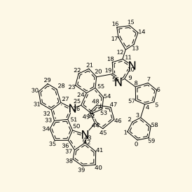 c1ccc(-c2cccc(-c3nc(-c4ccccc4)cc(-c4cccc5c(-n6c7ccccc7c7ccc8c9ccccc9n(-c9ccccc9)c8c76)cccc45)n3)c2)cc1